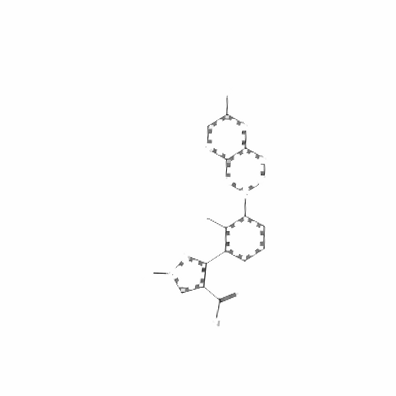 Cn1cc(C(N)=O)c(-c2cccc(-n3o[nH]c4nc(Cl)cnc4o3)c2Cl)n1